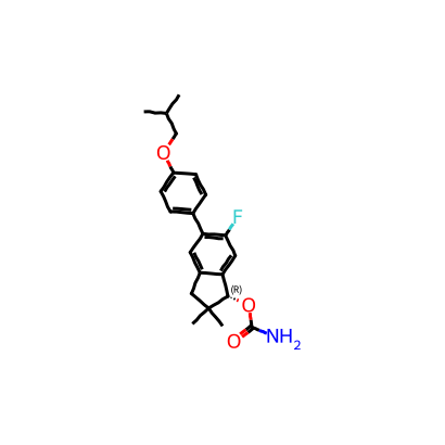 CC(C)COc1ccc(-c2cc3c(cc2F)[C@H](OC(N)=O)C(C)(C)C3)cc1